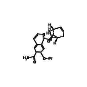 CC(C)Oc1cc2c(O[C@@H]3[C@@H]4CC=C[C@H]3NC4=O)nccc2cc1C(N)=O